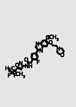 COc1cc2ncc(-c3ccc(CC(=O)Nc4cc(C(C)(C)C(F)(F)F)on4)c(F)c3)nc2cc1OCCN1CCOCC1